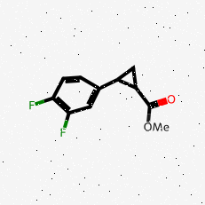 COC(=O)C1CC1c1ccc(F)c(F)c1